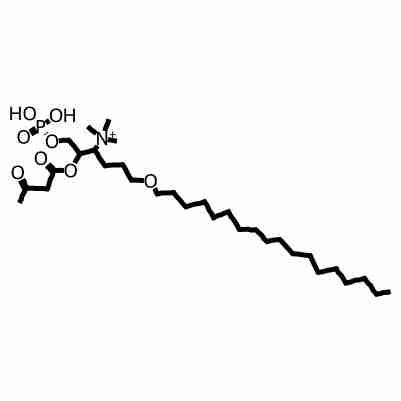 CCCCCCCCCCCCCCCCCCOCCCC(C(COP(=O)(O)O)OC(=O)CC(C)=O)[N+](C)(C)C